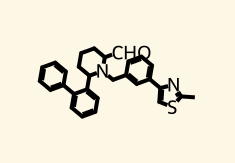 Cc1nc(-c2cccc(CN3C(C=O)CCCC3c3ccccc3-c3ccccc3)c2)cs1